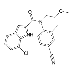 COCCN(C(=O)c1cc2cccc(Cl)c2[nH]1)c1ccc(C#N)cc1C